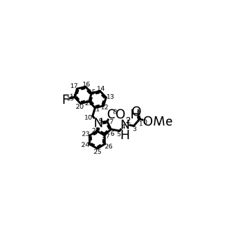 COC(=O)CNCc1c(C(=O)O)n(Cc2cccc3ccc(F)cc23)c2ccccc12